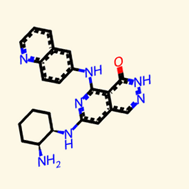 N[C@H]1CCCC[C@H]1Nc1cc2cn[nH]c(=O)c2c(Nc2ccc3ncccc3c2)n1